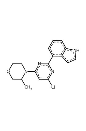 CC1COCCN1c1cc(Cl)nc(-c2cccc3[nH]ccc23)n1